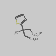 CCOC(=O)CC(C#N)(CC(=O)OCC)c1cccs1